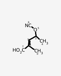 CC(=CC(C)OC#N)C(=O)O